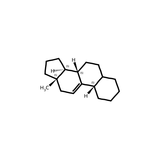 C[C@]12CC=C3[C@H]4CCCCC4CC[C@H]3[C@@H]1CCC2